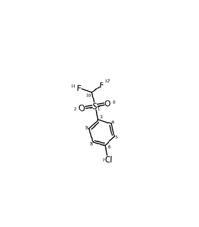 O=S(=O)(c1ccc(Cl)cc1)C(F)F